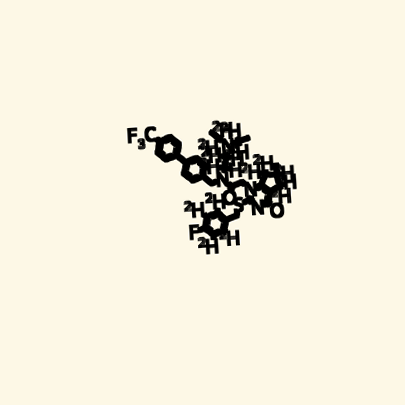 [2H]c1c([2H])c(CSc2nc(=O)c3c(n2CC(=O)N(Cc2ccc(-c4ccc(C(F)(F)F)cc4)cc2)C([2H])([2H])C([2H])([2H])N(C([2H])([2H])C)C([2H])([2H])C)C([2H])([2H])C([2H])(C)C3([2H])[2H])c([2H])c([2H])c1F